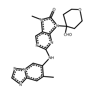 Cc1cc2ncnn2cc1Nc1ncc2c(n1)n(C1(C=O)CCOCC1)c(=O)n2C